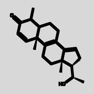 CC1C(=O)C=C[C@]2(C)C3=C(CCC12)C1=CC[C@H]([C@H](C)O)[C@@]1(C)CC3